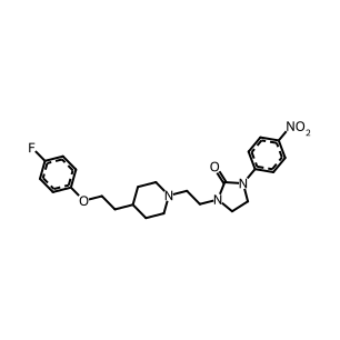 O=C1N(CCN2CCC(CCOc3ccc(F)cc3)CC2)CCN1c1ccc([N+](=O)[O-])cc1